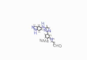 CNc1ccc(-c2nccc(Nc3ccc4[nH]ncc4c3)n2)cc1N(C)CCC=O